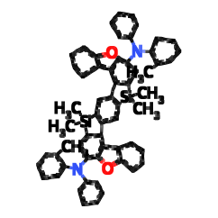 Cc1ccccc1N(c1ccccc1)c1cc2c(c3c1oc1ccccc13)-c1cc3c(cc1[Si]2(C)C)-c1c(cc(N(c2ccccc2)c2ccccc2C)c2oc4ccccc4c12)[Si]3(C)C